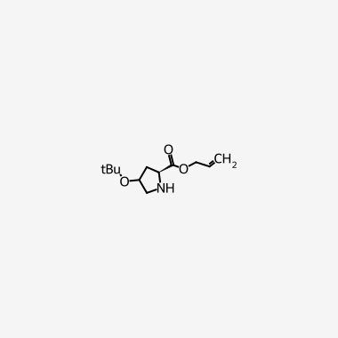 C=CCOC(=O)[C@@H]1CC(OC(C)(C)C)CN1